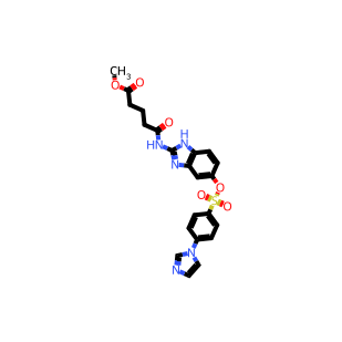 COC(=O)CCCC(=O)Nc1nc2cc(OS(=O)(=O)c3ccc(-n4ccnc4)cc3)ccc2[nH]1